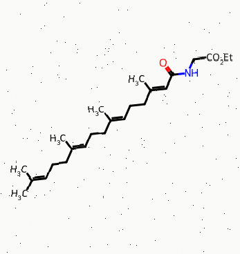 CCOC(=O)CNC(=O)/C=C(\C)CC/C=C(\C)CC/C=C(\C)CCC=C(C)C